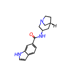 O=C(N[C@@H]1C[C@H]2CCN(C2)C1)c1ccc2cc[nH]c2c1